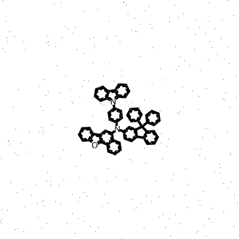 c1ccc(C2(c3ccccc3)c3ccccc3-c3ccc(N(c4ccc(-n5c6ccccc6c6ccccc65)cc4)c4cc5c6ccccc6oc5c5ccccc45)cc32)cc1